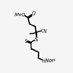 CCCCCCCCCCCCC(=S)SC(C)(C#N)CCC(=O)OC